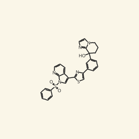 O=S(=O)(c1ccccc1)n1cc(-c2nc(-c3cccc(C4(O)CCCn5ccnc54)c3)cs2)c2cccnc21